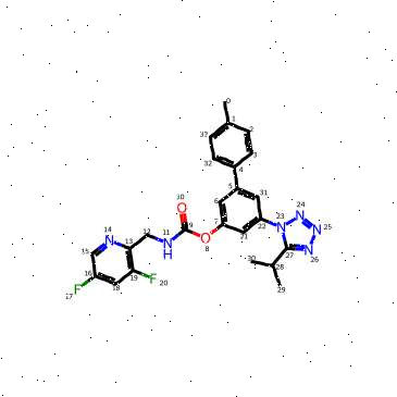 Cc1ccc(-c2cc(OC(=O)NCc3ncc(F)cc3F)cc(-n3nnnc3C(C)C)c2)cc1